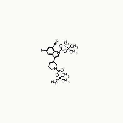 CC(C)(C)OC(=O)N1CCC=C(c2cn(C(=O)OC(C)(C)C)c3c(C#N)cc(F)cc23)C1